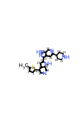 Cc1ccc(-c2cncc3[nH]c(-c4n[nH]c5cnc(C6CCNCC6)cc45)cc23)s1